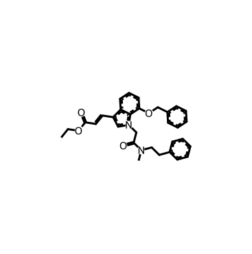 CCOC(=O)/C=C/c1cn(CC(=O)N(C)CCc2ccccc2)c2c(OCc3ccccc3)cccc12